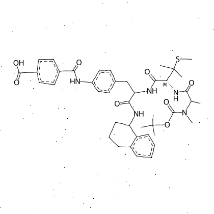 CSC(C)(C)[C@H](NC(=O)C(C)N(C)C(=O)OC(C)(C)C)C(=O)NC(Cc1ccc(NC(=O)c2ccc(C(=O)O)cc2)cc1)C(=O)NC1CCCc2ccccc21